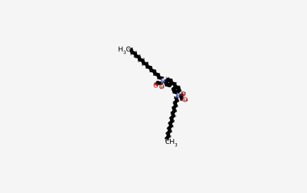 CCCCCCCCCCCCCCCCCCN(C(=O)C=O)c1ccc(Cc2ccc(N(CCCCCCCCCCCCCCCCCC)C(=O)C=O)cc2)cc1